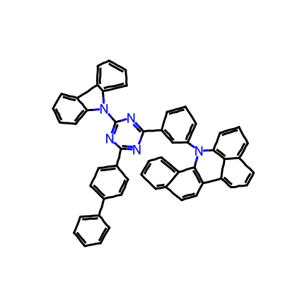 c1ccc(-c2ccc(-c3nc(-c4cccc(N5c6c(ccc7ccccc67)-c6cccc7cccc5c67)c4)nc(-n4c5ccccc5c5ccccc54)n3)cc2)cc1